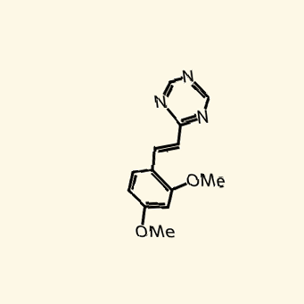 COc1ccc(C=Cc2ncncn2)c(OC)c1